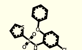 O=S(=O)(Nc1cc(Cl)ccc1Oc1ccccc1)c1cccs1